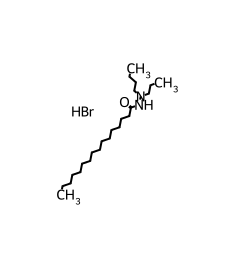 Br.CCCCCCCCCCCCCCCC(=O)NN(CCC)CCCC